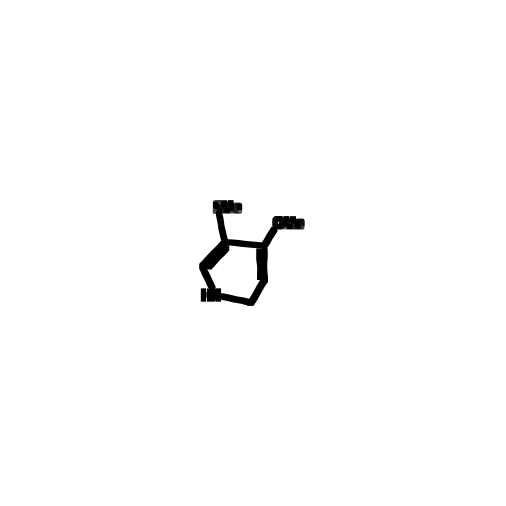 COC1=CCNC=C1SC